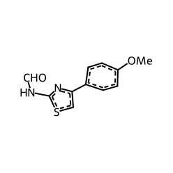 COc1ccc(-c2csc(NC=O)n2)cc1